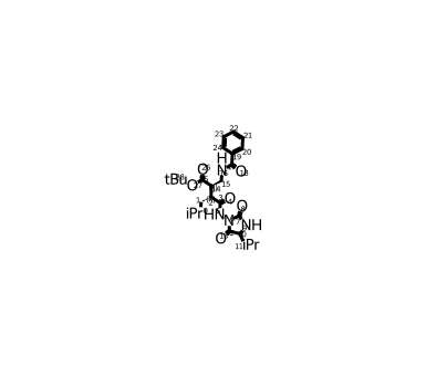 CC(C)C[C@@H](C(=O)NN1C(=O)NC(C(C)C)C1=O)[C@H](CNC(=O)c1ccccc1)C(=O)OC(C)(C)C